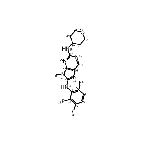 Cn1c(Nc2c(F)ccc(Cl)c2F)nc2cnc(NC3CCOCC3)nc21